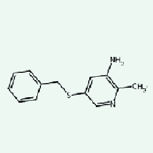 [CH2]c1ncc(SCc2ccccc2)cc1N